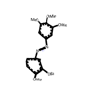 COc1ccc(/N=N/c2cc(OC)c(OC)c(OC)c2)cc1OC